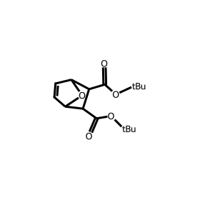 CC(C)(C)OC(=O)C1C2C=CC(O2)C1C(=O)OC(C)(C)C